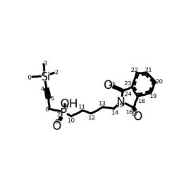 C[Si](C)(C)C#CCP(=O)(O)CCCCCN1C(=O)c2ccccc2C1=O